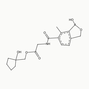 Cc1c(C(=O)NCC(=O)OCC2(O)CCCC2)ccc2c1B(O)OC2